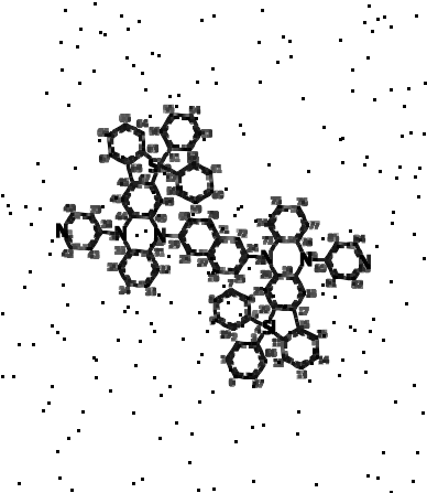 c1ccc([Si]2(c3ccccc3)c3ccccc3-c3cc4c(cc32)N(c2ccc3cc(N5c6ccccc6N(c6ccncc6)c6cc7c(cc65)[Si](c5ccccc5)(c5ccccc5)c5ccccc5-7)ccc3c2)c2ccccc2N4c2ccncc2)cc1